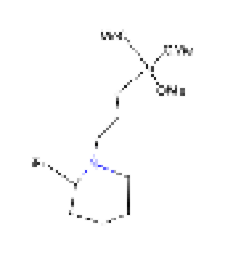 CO[Si](CCCN1CCCCC1C(C)C)(OC)OC